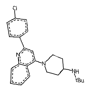 CC(C)(C)NC1CCN(c2cc(-c3ccc(Cl)cc3)nc3ccccc23)CC1